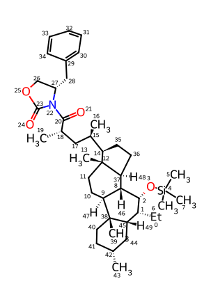 CC[C@H]1[C@@H](O[Si](C)(C)C)[C@@H]2[C@H](CC[C@]3(C)[C@@H]([C@H](C)C[C@H](C)C(=O)N4C(=O)OC[C@@H]4Cc4ccccc4)CC[C@@H]23)[C@@]2(C)CC[C@@H](C)C[C@@H]12